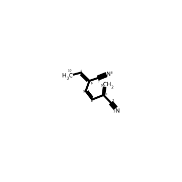 C=C(C#N)/C=C\C(C#N)=C/C